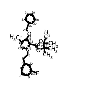 Cc1nn(CCc2cccc(F)c2)c(B2OC(C)(C)C(C)(C)O2)c1OCc1ccccc1